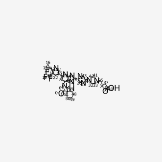 COCC1(CN(C)c2cc(-c3cnc(C4CC4)c(C(F)(F)F)c3)nc3nc(-c4cnc(N5CCN(CCCC(=O)O)CC5)cn4)[nH]c23)CCCCC1